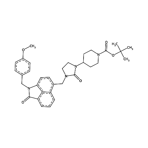 COc1ccc(CN2C(=O)c3cccc4c(CN5CCN(C6CCN(C(=O)OC(C)(C)C)CC6)C5=O)ccc2c34)cc1